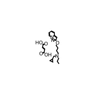 CCCN(CCCCOc1cc2ccccn2n1)CC1CC1.O=C(O)C=CC(=O)O